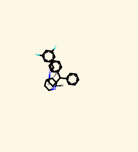 Fc1cc(F)cc(/C=N/[C@@H]2C3CCN(CC3)[C@H]2C(c2ccccc2)c2ccccc2)c1